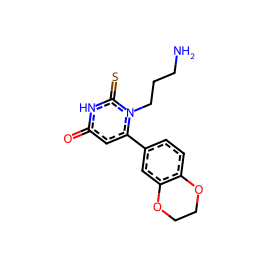 NCCCn1c(-c2ccc3c(c2)OCCO3)cc(=O)[nH]c1=S